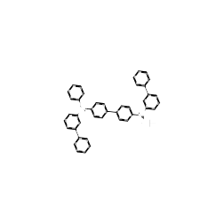 CN(c1ccc(-c2ccc(N(c3ccccc3)c3cccc(-c4ccccc4)c3)cc2)cc1)c1cccc(-c2ccccc2)c1